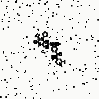 CC[C@@H]1C(=O)N(C)c2cnc(Nc3ccc(C(=O)NC4CCN(C)C(I)C4)cc3OC)nc2N1C1CCCC1